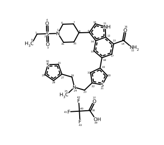 CCS(=O)(=O)N1CCC(c2c[nH]c3c(C(N)=O)cc(-c4csc(CN(C)Cc5ccsc5)c4)cc23)CC1.O=C(O)C(F)(F)F